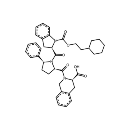 O=C(O)[C@H]1Cc2ccccc2CN1C(=O)[C@H]1CC[C@@H](c2ccccc2)N1C(=O)[C@H]1Cc2ccccc2N1C(=O)OCCC1CCCCC1